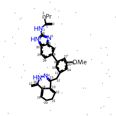 C=C(CCC)Nc1nc2cc(-c3cc(CC4=NNC(=C)C5=CCCC=C54)cc(OC)c3)ccc2[nH]1